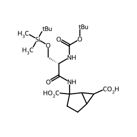 CC(C)(C)OC(=O)N[C@@H](CO[Si](C)(C)C(C)(C)C)C(=O)NC1(C(=O)O)CCC2C(C(=O)O)C21